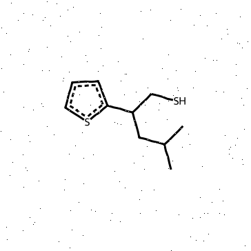 CC(C)CC(CS)c1cccs1